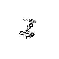 CCN(C(C)COC)C1CCC(CNc2nc(N3CCOC[C@H]3C)cc(-n3c(C(F)F)nc4ccccc43)n2)CC1